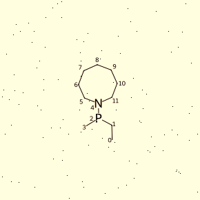 CCP(C)N1CCCCCCC1